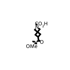 CON(C)C(=O)C1CC2(C1)CN(C(=O)O)C2